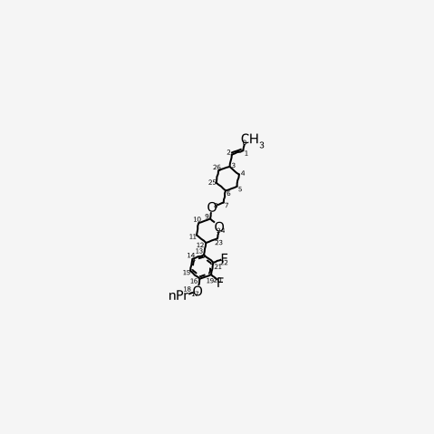 C/C=C/C1CCC(COC2CCC(c3ccc(OCCC)c(F)c3F)CO2)CC1